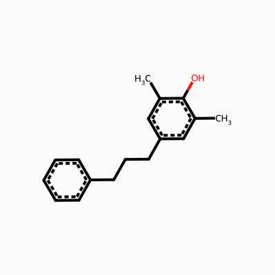 Cc1cc(CCCc2ccccc2)cc(C)c1O